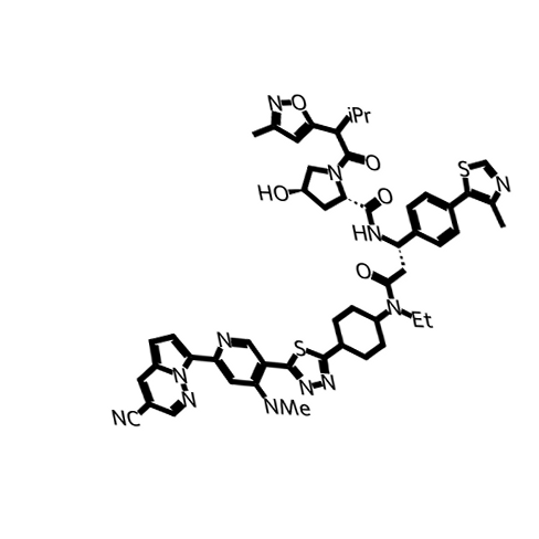 CCN(C(=O)C[C@H](NC(=O)[C@@H]1C[C@@H](O)CN1C(=O)C(c1cc(C)no1)C(C)C)c1ccc(-c2scnc2C)cc1)C1CCC(c2nnc(-c3cnc(-c4ccc5cc(C#N)cnn45)cc3NC)s2)CC1